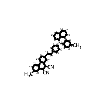 Cc1ccc(N(c2ccc(C=Cc3ccc4c(c3)c(C#N)c(C#N)c3cc(C)ccc34)cc2)c2cccc3ccccc23)cc1